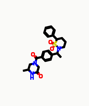 CC1CN(C(=O)c2ccc(C(C)N3CCCC(c4ccccc4)S3(=O)=O)cc2)CC(=O)N1